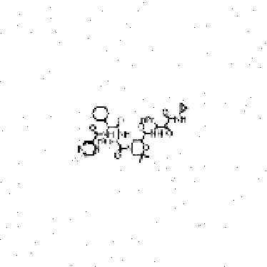 CCC[C@H](NC(=O)C1CN(C(=O)[C@@H](NC(=O)C(NC(=O)c2cnccn2)C2CCCCC2)C(C)(C)C)CC(C)(C)O1)C(=O)C(=O)NC1CC1